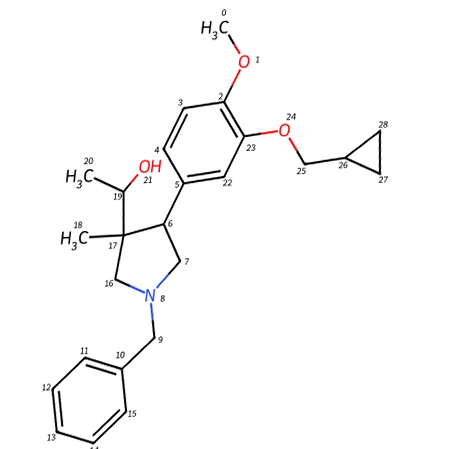 COc1ccc(C2CN(Cc3ccccc3)CC2(C)C(C)O)cc1OCC1CC1